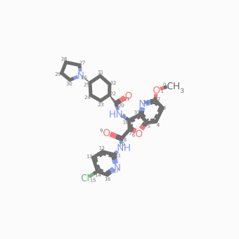 COc1ccc2oc(C(=O)Nc3ccc(Cl)cn3)c(NC(=O)[C@H]3CC[C@H](N4CCCC4)CC3)c2n1